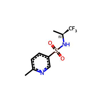 Cc1ccc(S(=O)(=O)N[C@@H](C)C(F)(F)F)cn1